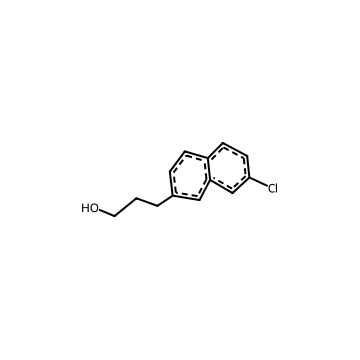 OCCCc1ccc2ccc(Cl)cc2c1